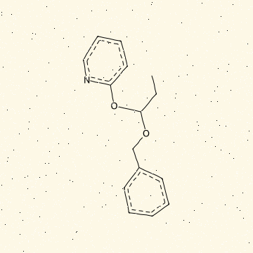 CCC(OCc1ccccc1)Oc1ccccn1